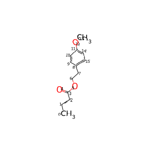 CCCC(=O)OCCc1ccc(OC)cc1